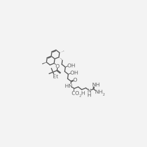 C=C(O[C@H]1C[C@@H](C)C=C2C=C[C@H](C)[C@H](CC[C@@H](O)C[C@@H](O)CC(=O)N[C@@H](CCCNC(=N)N)C(=O)O)C21)C(C)(C)CC